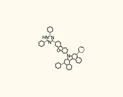 C1=CCCC(c2cc3c(c4ccccc24)c2c4ccccc4c(-c4ccccc4)cc2n3-c2ccc3c(c2)oc2cc(C4=NC(c5ccccc5)NC(c5ccccc5)=N4)ccc23)=C1